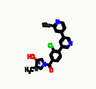 C[C@H]1CN(C(=O)c2ccc(-c3cncc(-c4ccnc(C(C)(C)C)c4)c3)c(Cl)c2)C[C@@H]1O